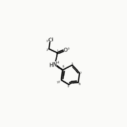 O=C(CCl)Nc1[c]cccc1